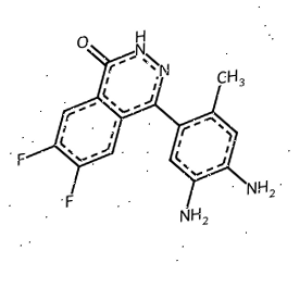 Cc1cc(N)c(N)cc1-c1n[nH]c(=O)c2cc(F)c(F)cc12